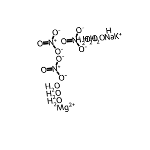 O.O.O.O.O.O.O=[N+]([O-])[O-].O=[N+]([O-])[O-].O=[N+]([O-])[O-].[K+].[Mg+2].[NaH]